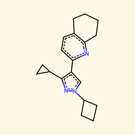 c1cc2c(nc1-c1cn(C3CCC3)nc1C1CC1)CCCC2